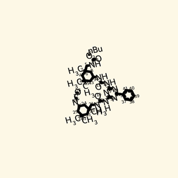 CCCCOC(=O)NCC1(C)CC(NC(=O)Nc2nc(NC(=O)NCC3(C)CC(N=C=O)CC(C)(C)C3)nc(-c3ccccc3)n2)CC(C)(C)C1